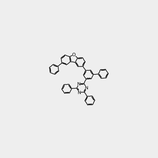 c1ccc(-c2cc(-c3ccc4oc5ccc(-c6ccccc6)cc5c4c3)cc(-c3nc(-c4ccccc4)nc(-c4ccccc4)n3)c2)cc1